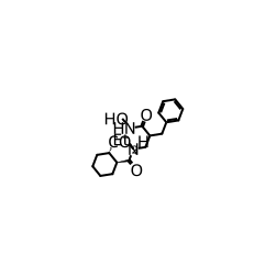 CCN(CC(Cc1ccccc1)C(=O)NO)C(=O)[C@H]1CCCC[C@@H]1C(=O)O